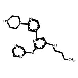 CCCCNc1cc(Nc2cnccn2)nc(-c2ccnc(N3CCNCC3)c2)c1